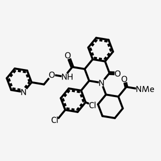 CNC(=O)C1CCCCC1N1C(=O)c2ccccc2C(C(=O)NOCc2ccccn2)C1c1ccc(Cl)cc1Cl